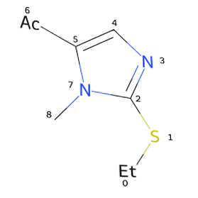 CCSc1ncc(C(C)=O)n1C